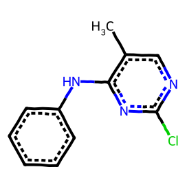 Cc1cnc(Cl)nc1Nc1ccccc1